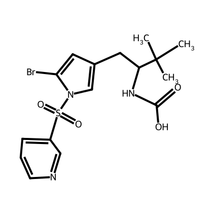 CC(C)(C)C(Cc1cc(Br)n(S(=O)(=O)c2cccnc2)c1)NC(=O)O